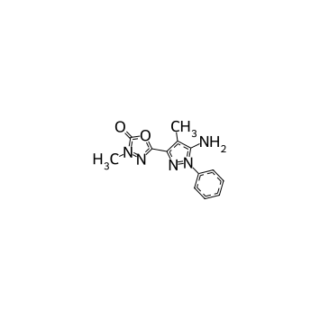 Cc1c(-c2nn(C)c(=O)o2)nn(-c2ccccc2)c1N